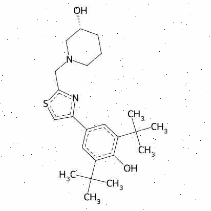 CC(C)(C)c1cc(-c2csc(CN3CCC[C@@H](O)C3)n2)cc(C(C)(C)C)c1O